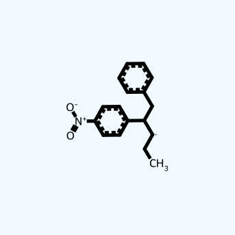 CC[CH]C(Cc1ccccc1)c1ccc([N+](=O)[O-])cc1